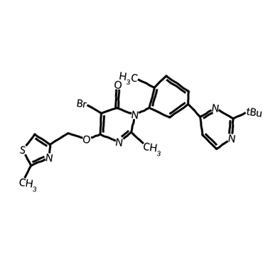 Cc1nc(COc2nc(C)n(-c3cc(-c4ccnc(C(C)(C)C)n4)ccc3C)c(=O)c2Br)cs1